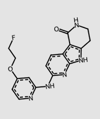 O=C1NCCc2[nH]c3nc(Nc4cc(OCCF)ccn4)ccc3c21